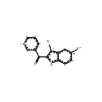 O=C(c1cccnc1)c1[nH]c2ccc(F)cc2c1I